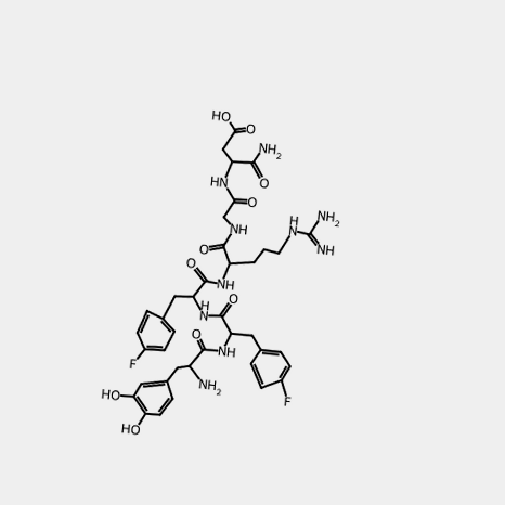 N=C(N)NCCCC(NC(=O)C(Cc1ccc(F)cc1)NC(=O)C(Cc1ccc(F)cc1)NC(=O)C(N)Cc1ccc(O)c(O)c1)C(=O)NCC(=O)NC(CC(=O)O)C(N)=O